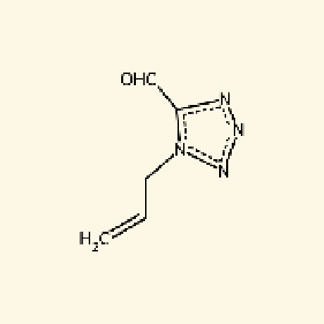 C=CCn1nnnc1C=O